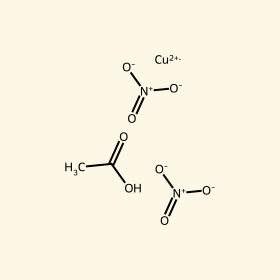 CC(=O)O.O=[N+]([O-])[O-].O=[N+]([O-])[O-].[Cu+2]